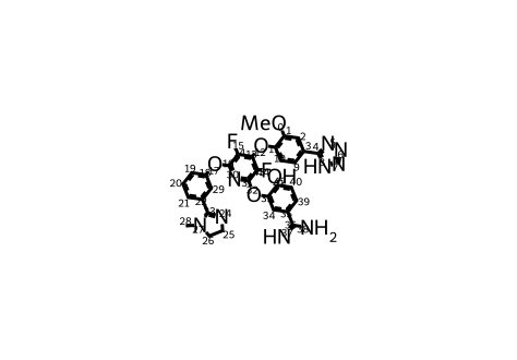 COc1cc(-c2nnn[nH]2)ccc1Oc1c(F)c(Oc2cccc(C3=NCCN3C)c2)nc(Oc2cc(C(=N)N)ccc2O)c1F